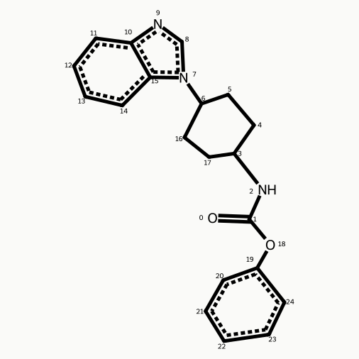 O=C(NC1CCC(n2cnc3ccccc32)CC1)Oc1ccccc1